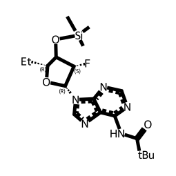 CC[C@H]1O[C@@H](n2cnc3c(NC(=O)C(C)(C)C)ncnc32)[C@@H](F)C1O[Si](C)(C)C